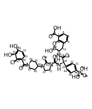 O=C(O)c1cccc2c1OB(O)[C@@H](NC(=O)[C@H](NC(=O)N1CCN(C3CCN(C(=O)c4ccc(O)c(O)c4Cl)CC3)C1=O)c1ccc(P(=O)(O)O)cc1)C2